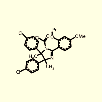 COc1ccc(C2=NC(C)(c3ccc(Cl)cc3)C(C)(c3ccc(Cl)cc3)N2C(=O)Cl)c(OC(C)C)c1